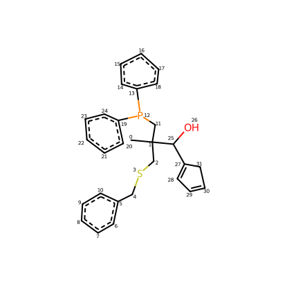 CC(CSCc1ccccc1)(CP(c1ccccc1)c1ccccc1)C(O)C1=CC=CC1